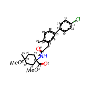 COC(=O)C1(NC(=O)Cc2cc(-c3ccc(Cl)cc3)ccc2C)CCC(C)(OC)CC1